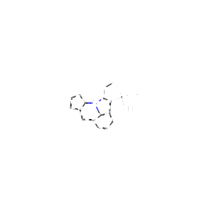 CC1(C)SC=Cc2c1c1cccc3cc4cccc4n2c31